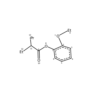 CCOc1ccccc1OC(=O)C(CC)C(C)C